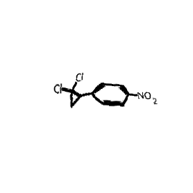 O=[N+]([O-])c1ccc(C2CC2(Cl)Cl)cc1